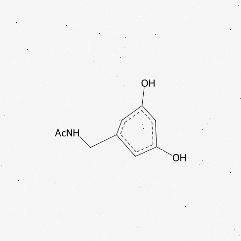 CC(=O)NCc1cc(O)cc(O)c1